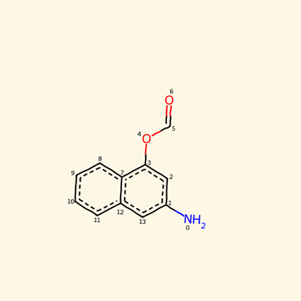 Nc1cc(OC=O)c2ccccc2c1